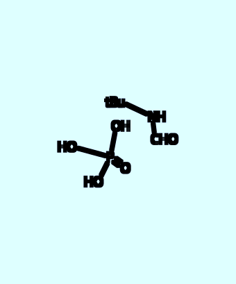 CC(C)(C)NC=O.O=P(O)(O)O